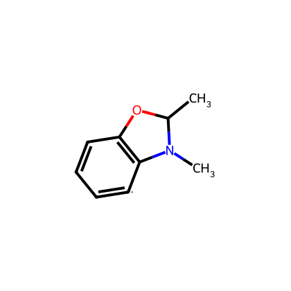 CC1Oc2ccc[c]c2N1C